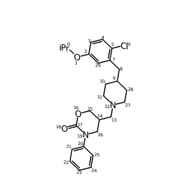 CC(C)Oc1ccc(Cl)c(CC2CCN(CC3COC(=O)N(c4ccccc4)C3)CC2)c1